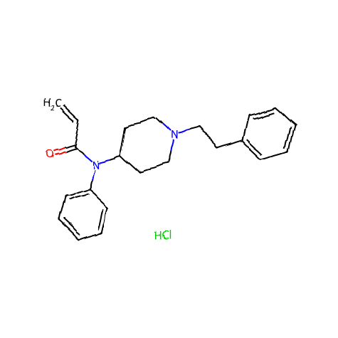 C=CC(=O)N(c1ccccc1)C1CCN(CCc2ccccc2)CC1.Cl